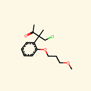 COCCCOc1ccccc1C(C)(CCl)C(C)=O